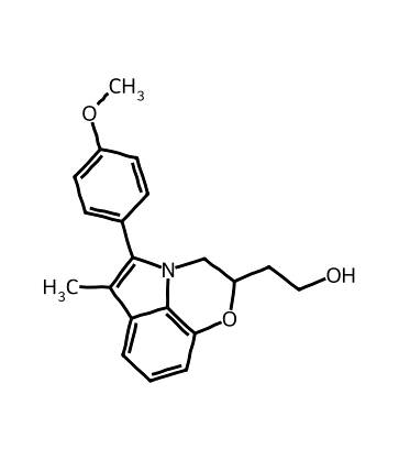 COc1ccc(-c2c(C)c3cccc4c3n2CC(CCO)O4)cc1